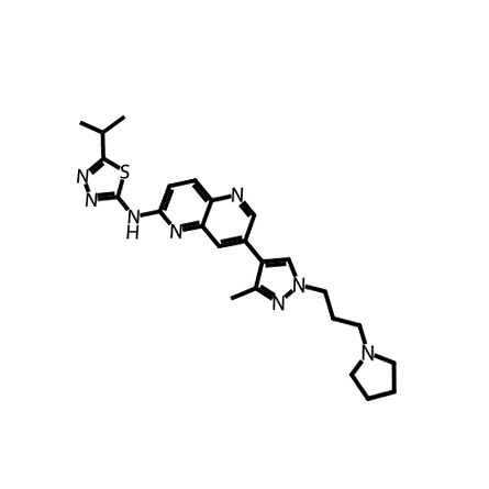 Cc1nn(CCCN2CCCC2)cc1-c1cnc2ccc(Nc3nnc(C(C)C)s3)nc2c1